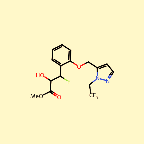 COC(=O)C(O)C(F)c1ccccc1OCc1ccnn1CC(F)(F)F